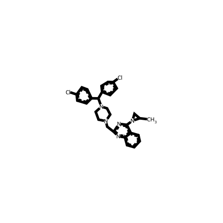 CC1CN1c1nc(CN2CCN(C(c3ccc(Cl)cc3)c3ccc(Cl)cc3)CC2)nc2ccccc12